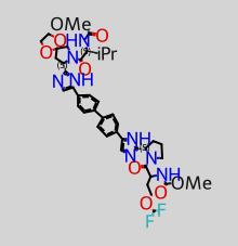 COC(=O)NC(CCOC(F)F)C(=O)N1CCC[C@H]1c1ncc(-c2ccc(-c3ccc(-c4cnc([C@@H]5CC6(CN5C(=O)[C@@H](NC(=O)OC)C(C)C)OCCO6)[nH]4)cc3)cc2)[nH]1